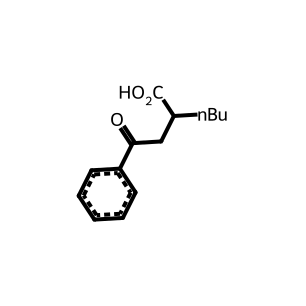 CCCCC(CC(=O)c1ccccc1)C(=O)O